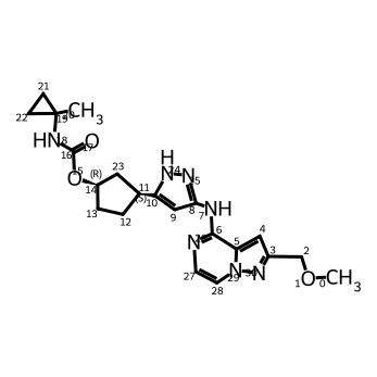 COCc1cc2c(Nc3cc([C@H]4CC[C@@H](OC(=O)NC5(C)CC5)C4)[nH]n3)nccn2n1